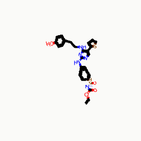 CCOC(=O)/N=[SH](=O)/c1ccc(Nc2ncc(-c3cccs3)c(NCCc3ccc(O)cc3)n2)cc1